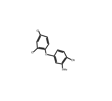 CSc1cc(Oc2ccc(Cl)cc2Cl)ccc1C#N